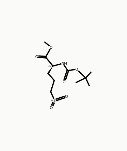 COC(=O)[C@H](CCC[SH](=O)=O)NC(=O)OC(C)(C)C